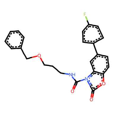 O=C(NCCCOCc1ccccc1)n1c(=O)oc2ccc(-c3ccc(F)cc3)cc21